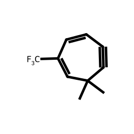 CC1(C)C#CC=CC(C(F)(F)F)=C1